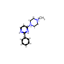 CN1CCN(c2ccnc(-c3ccccc3)n2)CC1